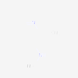 CNc1ccc(I)nc1C